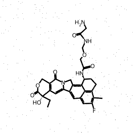 CC[C@@]1(O)C(=O)OCc2c1cc1n(c2=O)Cc2c-1cc1cc(F)c(C)c3c1c2[C@@H](NC(=O)COCNC(=O)CN)CC3